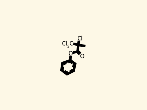 CC(Cl)(C(=O)Oc1ccccc1)C(Cl)(Cl)Cl